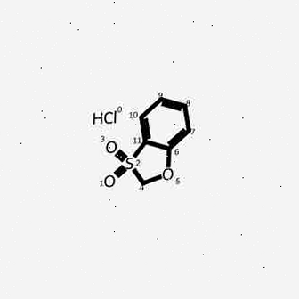 Cl.O=S1(=O)COc2ccccc21